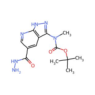 CN(C(=O)OC(C)(C)C)c1n[nH]c2ncc(C(=O)NN)cc12